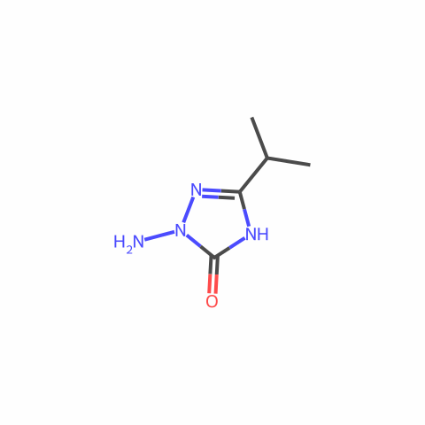 CC(C)c1nn(N)c(=O)[nH]1